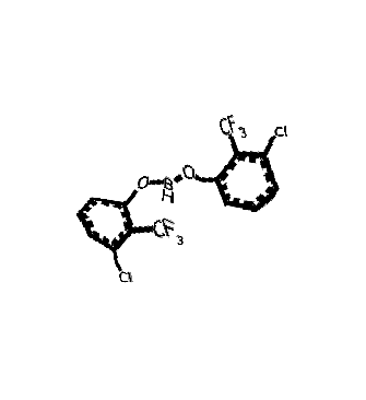 FC(F)(F)c1c(Cl)cccc1OBOc1cccc(Cl)c1C(F)(F)F